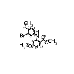 CCc1ccc(Nc2cc(OC)ccc2C(=O)OC)cc1Br